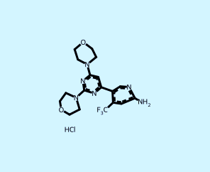 Cl.Nc1cc(C(F)(F)F)c(-c2cc(N3CCOCC3)nc(N3CCOCC3)n2)cn1